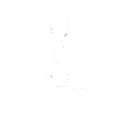 CC1=C(OCc2ccccc2)C(=O)C(=C=O)C1O